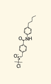 CCCCc1ccc(NC(=O)c2ccc(C[S+]([O-])C(C)(C)Cl)cc2)cc1